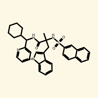 CC(Cc1c[nH]c2ccccc12)(NS(=O)(=O)c1ccc2ccccc2c1)C(=O)NC(c1ccccn1)C1CCCCC1